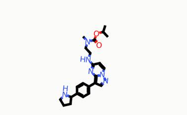 CC(C)OC(=O)N(C)CCNc1ccn2ncc(-c3ccc(C4CCCN4)cc3)c2n1